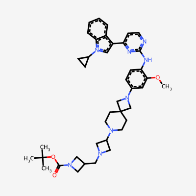 COc1cc(N2CC3(CCN(C4CN(CC5CN(C(=O)OC(C)(C)C)C5)C4)CC3)C2)ccc1Nc1nccc(-c2cn(C3CC3)c3ccccc23)n1